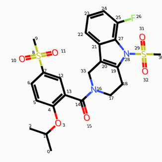 CC(C)Oc1ccc(S(C)(=O)=O)cc1C(=O)N1CCc2c(c3cccc(F)c3n2S(C)(=O)=O)C1